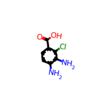 Nc1ccc(C(=O)O)c(Cl)c1N